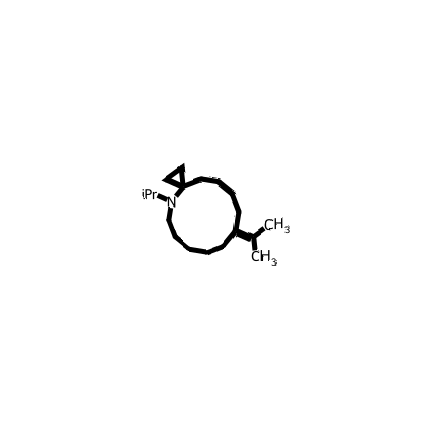 CC(C)=C1CCCCCN(C(C)C)C2(CCCC1)CC2